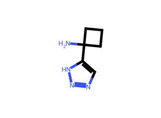 NC1(c2cnn[nH]2)CCC1